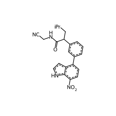 CC(C)CC(C(=O)NCC#N)c1cccc(-c2ccc([N+](=O)[O-])c3[nH]ccc23)c1